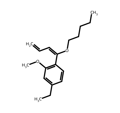 C=C/C=C(/OCCCCC)c1ccc(CC)cc1OC